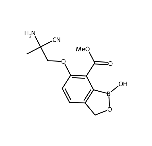 COC(=O)c1c(OCC(C)(N)C#N)ccc2c1B(O)OC2